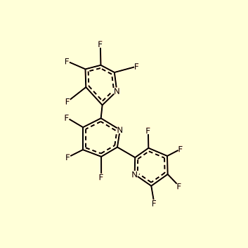 Fc1nc(-c2nc(-c3nc(F)c(F)c(F)c3F)c(F)c(F)c2F)c(F)c(F)c1F